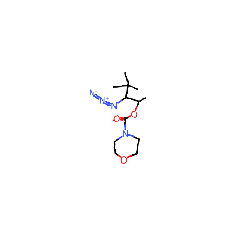 CC(OC(=O)N1CCOCC1)C(N=[N+]=[N-])C(C)(C)C